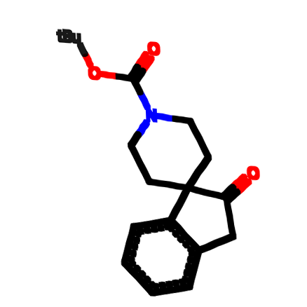 CC(C)(C)OC(=O)N1CCC2(CC1)C(=O)Cc1ccccc12